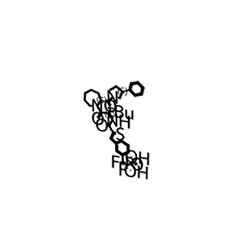 CC(C)(C)[C@H](NC(=O)c1cc2cc(C(F)(F)P(=O)(O)O)ccc2s1)C(=O)N1CCCCC[C@H]1C(=O)N1CC[C@@H](c2ccccc2)C1